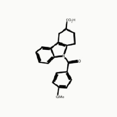 COc1ccc(C(=O)n2c3c(c4ccccc42)CC(C(=O)O)CC3)cc1